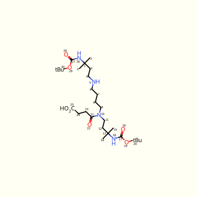 CC(C)(CCNCCCCN(CCC(C)(C)NC(=O)OC(C)(C)C)C(=O)CCC(=O)O)NC(=O)OC(C)(C)C